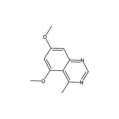 COc1cc(OC)c2c(C)ncnc2c1